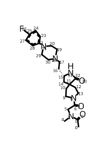 CC(=O)N(C)CC(=O)N1CCC2(CC1)C[C@H](CCN1CCN(c3ccc(F)cc3)CC1)NC2=O